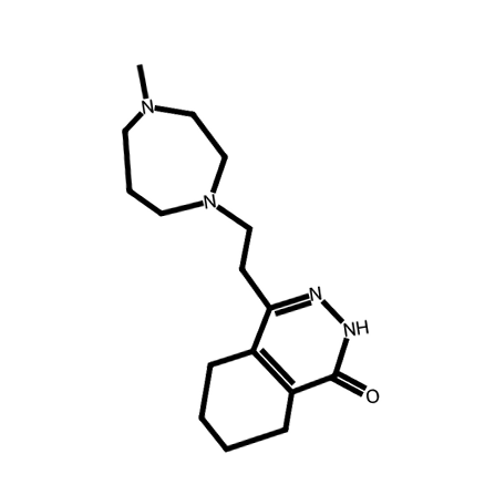 CN1CCCN(CCc2n[nH]c(=O)c3c2CCCC3)CC1